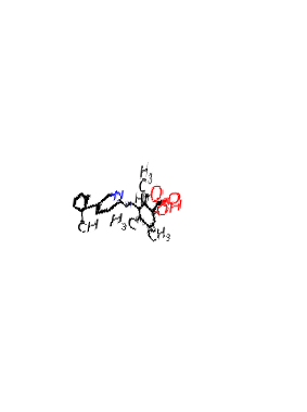 C#Cc1ccccc1-c1ccc(/C=C/C2[C@@H]3[C@@H](C)OC(=O)[C@]3(O)C[C@H](C)[C@H]2C)nc1